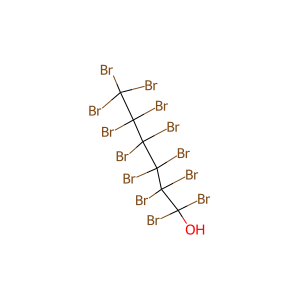 OC(Br)(Br)C(Br)(Br)C(Br)(Br)C(Br)(Br)C(Br)(Br)C(Br)(Br)Br